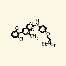 CCN(CC)CCOc1ccc(Nc2ncc3c(n2)N(C)CC(c2c(Cl)cccc2Cl)=C3)cc1